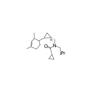 CC1=CC(C)C(C2C[C@@H]2CN(CC(C)C)C(=O)C2CC2)CC1